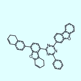 C1=Cc2ccc(-c3ccc(-c4nc(-c5ccccc5)nc(-c5ccc6c(c5)oc5ccccc56)n4)c4c5c(oc34)C=CCC5)cc2CC1